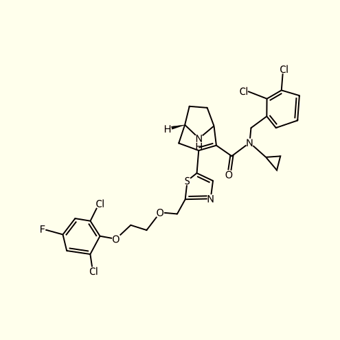 O=C(C1=C(c2cnc(COCCOc3c(Cl)cc(F)cc3Cl)s2)C[C@@H]2CCC1N2)N(Cc1cccc(Cl)c1Cl)C1CC1